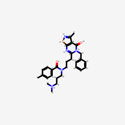 Cc1ccc(C(=O)N(CCCc2nc3snc(C)c3c(=O)n2Cc2ccccc2)CCCN(C)C)cc1